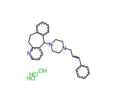 C(=Cc1ccccc1)CN1CCN(C2c3ccccc3CCc3ncccc32)CC1.Cl.Cl.Cl